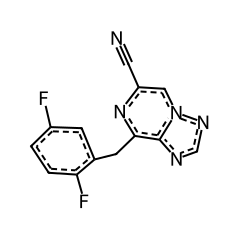 N#Cc1cn2ncnc2c(Cc2cc(F)ccc2F)n1